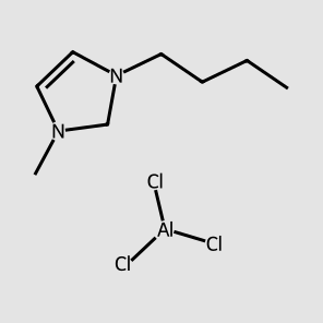 CCCCN1C=CN(C)C1.[Cl][Al]([Cl])[Cl]